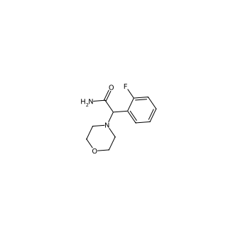 NC(=O)C(c1ccccc1F)N1CCOCC1